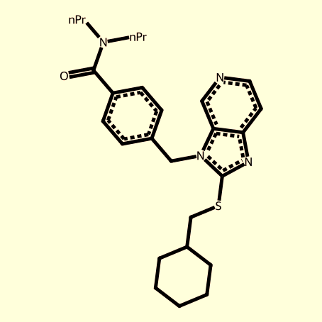 CCCN(CCC)C(=O)c1ccc(Cn2c(SCC3CCCCC3)nc3ccncc32)cc1